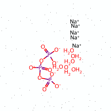 O.O.O.O.O.O.O=P([O-])([O-])OP(=O)([O-])OP(=O)([O-])[O-].[Na+].[Na+].[Na+].[Na+].[Na+]